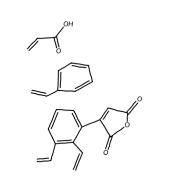 C=CC(=O)O.C=Cc1cccc(C2=CC(=O)OC2=O)c1C=C.C=Cc1ccccc1